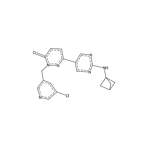 O=c1ccc(-c2cnc(NC34CC(C3)C4)nc2)nn1Cc1cncc(Cl)c1